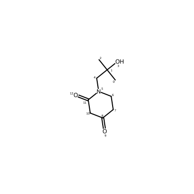 CC(C)(O)CN1CCC(=O)CC1=O